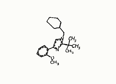 COc1ccccc1-c1cn(CC2CCCCC2)c(C(C)(C)C)n1